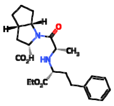 CCOC(=O)[C@@H](CCc1ccccc1)N[C@@H](C)C(=O)N1[C@H](C(=O)O)C[C@@H]2CCC[C@@H]21